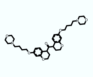 O=C(C1CCOc2cc(OCCCCN3CCOCC3)ccc21)C1CCOc2cc(OCCCCN3CCOCC3)ccc21